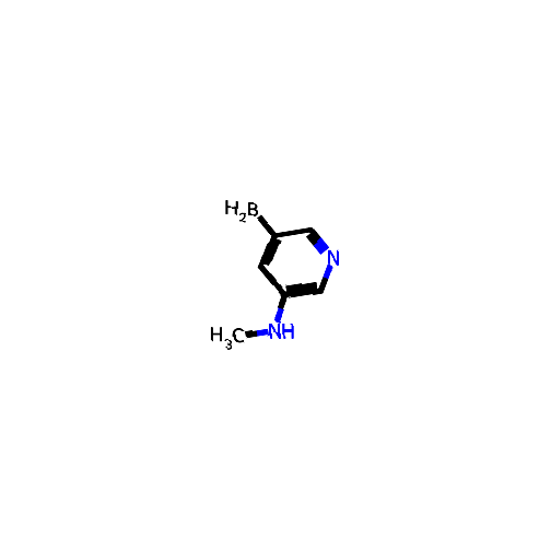 Bc1cncc(NC)c1